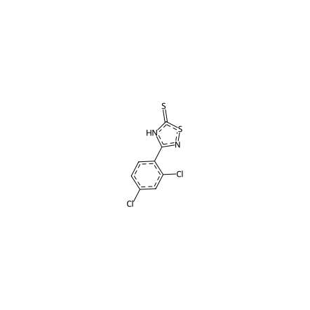 S=c1[nH]c(-c2ccc(Cl)cc2Cl)ns1